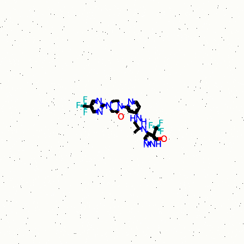 CC(CNc1ccnc(N2CCN(c3ncc(C(F)(F)F)cn3)CC2=O)c1)Nc1cn[nH]c(=O)c1C(F)(F)F